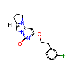 O=c1nc(OCCc2cccc(F)c2)cc2n1C[C@H]1CCCN21